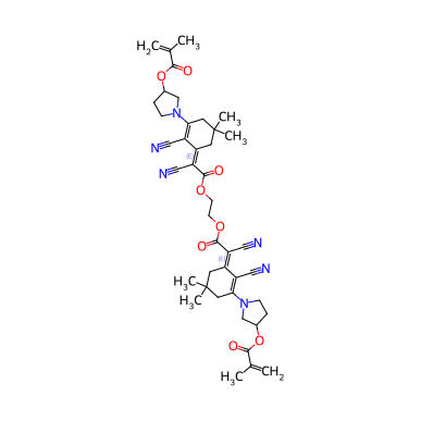 C=C(C)C(=O)OC1CCN(C2=C(C#N)/C(=C(\C#N)C(=O)OCCOC(=O)/C(C#N)=C3\CC(C)(C)CC(N4CCC(OC(=O)C(=C)C)C4)=C3C#N)CC(C)(C)C2)C1